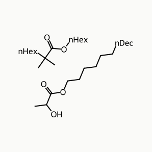 CCCCCCCCCCCCCCCCOC(=O)C(C)O.CCCCCCOC(=O)C(C)(C)CCCCCC